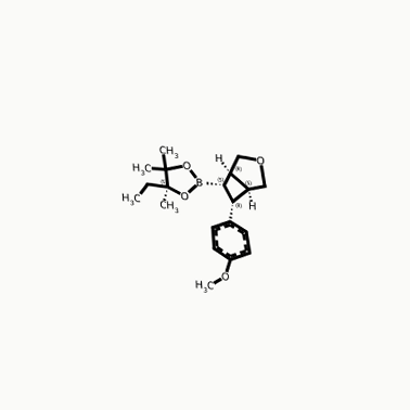 CC[C@]1(C)OB([C@@H]2[C@H]3COC[C@H]3[C@@H]2c2ccc(OC)cc2)OC1(C)C